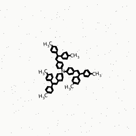 Cc1ccc(C(=Cc2ccc(N(c3ccc(C=C(c4ccc(C)cc4)c4ccc(C)cc4)cc3)c3ccc(C=C(c4ccc(C)cc4)c4ccc(C)cc4)cc3)cc2)c2ccc(C)cc2)cc1